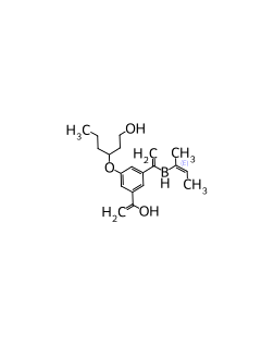 C=C(O)c1cc(OC(CCC)CCO)cc(C(=C)B/C(C)=C\C)c1